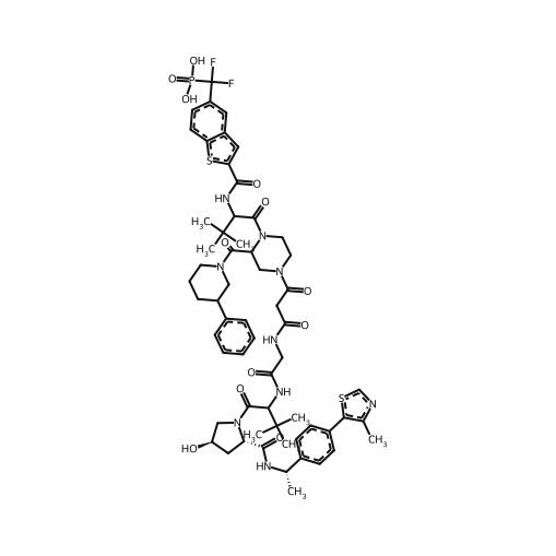 Cc1ncsc1-c1ccc([C@H](C)NC(=O)[C@@H]2C[C@@H](O)CN2C(=O)C(NC(=O)CNC(=O)CC(=O)N2CCN(C(=O)C(NC(=O)c3cc4cc(C(F)(F)P(=O)(O)O)ccc4s3)C(C)(C)C)C(C(=O)N3CCCC(c4ccccc4)C3)C2)C(C)(C)C)cc1